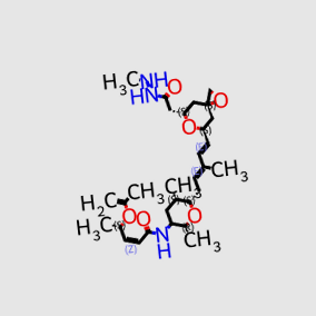 C=C(C)O[C@@H](C)/C=C\C(=O)NC1C[C@H](C)[C@H](C/C=C(C)/C=C/[C@@H]2C[C@]3(CO3)C[C@@H](CC(=O)NNC)O2)O[C@@H]1C